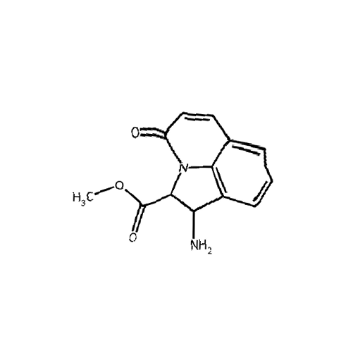 COC(=O)C1C(N)c2cccc3ccc(=O)n1c23